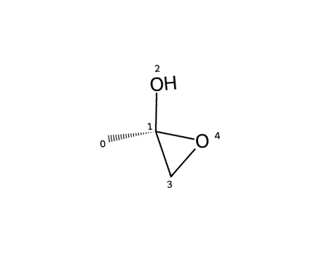 C[C@@]1(O)CO1